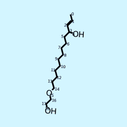 CC=CC(O)CCCCCCCCCCOCCO